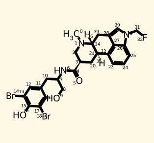 CN1C[C@H](C(=O)NC(CO)Cc2cc(Br)c(O)c(Br)c2)C[C@@H]2c3cccc4c3c(cn4CF)C[C@H]21